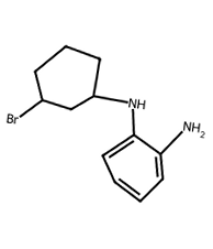 Nc1ccccc1NC1CCCC(Br)C1